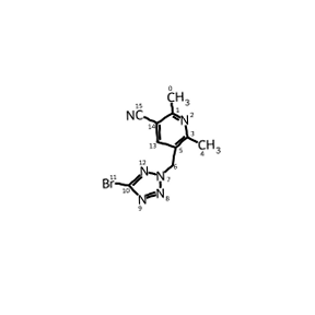 Cc1nc(C)c(Cn2nnc(Br)n2)cc1C#N